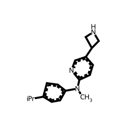 CC(C)c1ccc(N(C)c2ccc(C3CNC3)cn2)cc1